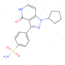 NS(=O)(=O)c1ccc(-c2nn(C3CCCC3)c3cc[nH]c(=O)c23)cc1